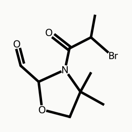 CC(Br)C(=O)N1C(C=O)OCC1(C)C